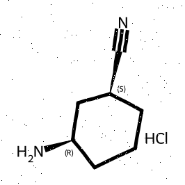 Cl.N#C[C@H]1CCC[C@@H](N)C1